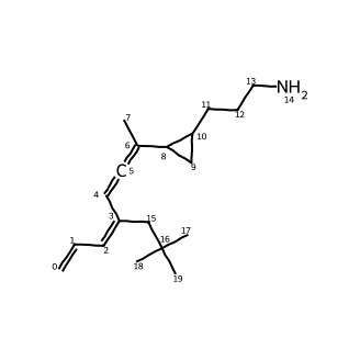 C=C/C=C(\C=C=C(C)C1CC1CCCN)CC(C)(C)C